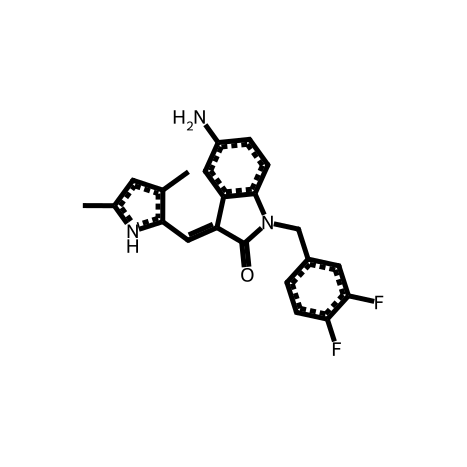 Cc1cc(C)c(C=C2C(=O)N(Cc3ccc(F)c(F)c3)c3ccc(N)cc32)[nH]1